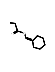 CCC(=O)OC=C1CCCCC1